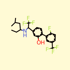 CCC(CC(C)C)NC(c1ccc(-c2cc(C(F)(F)F)ccc2F)c(O)c1)C(F)(F)F